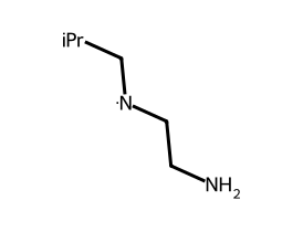 CC(C)C[N]CCN